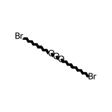 BrCCCCCCC=CCCCOCOCOCCCC=CCCCCCCBr